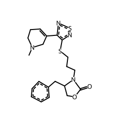 CN1CCC=C(c2nsnc2SCCCN2C(=O)OCC2Cc2ccccc2)C1